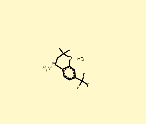 CC1(C)C[C@@H](N)c2ccc(C(F)(F)F)cc2O1.Cl